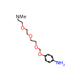 CNCCOCCOCCOCOc1ccc(N)cc1